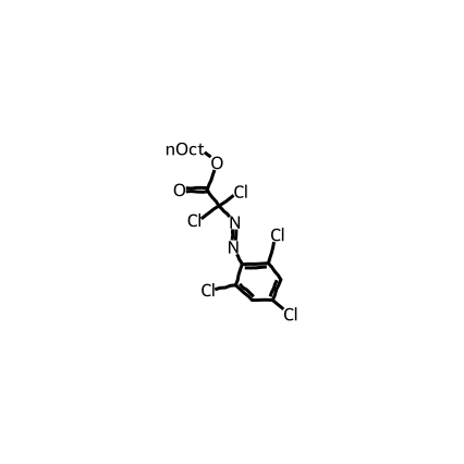 CCCCCCCCOC(=O)C(Cl)(Cl)N=Nc1c(Cl)cc(Cl)cc1Cl